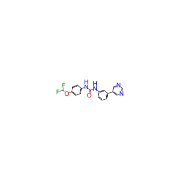 O=C(Nc1ccc(OC(F)F)cc1)Nc1cccc(-c2cncnc2)c1